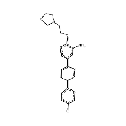 Nc1cc(C2=CCC(c3ccc(Cl)cc3)C=N2)ccc1OCCN1CCCC1